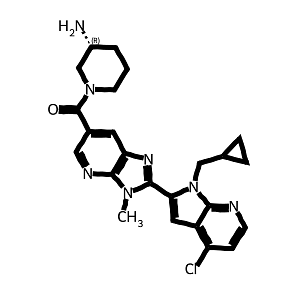 Cn1c(-c2cc3c(Cl)ccnc3n2CC2CC2)nc2cc(C(=O)N3CCC[C@@H](N)C3)cnc21